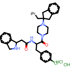 CC(C)CC1(N2CCN(C(=O)C(Cc3ccc(Cl)cc3)NC(=O)CC3NCc4ccccc43)CC2)Cc2ccccc2C1.Cl.Cl